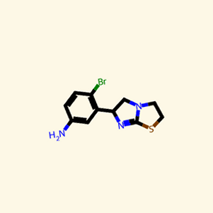 Nc1ccc(Br)c(C2CN3CCSC3=N2)c1